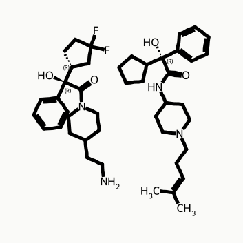 CC(C)=CCCN1CCC(NC(=O)[C@](O)(c2ccccc2)C2CCCC2)CC1.NCCC1CCN(C(=O)[C@](O)(c2ccccc2)[C@@H]2CCC(F)(F)C2)CC1